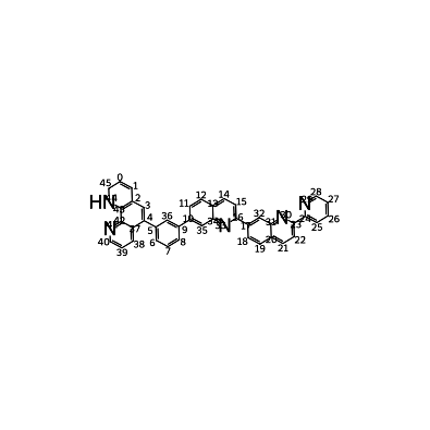 C1=Cc2cc(-c3cccc(-c4ccc5ccc(-c6ccc7ccc(-c8ccccn8)nc7c6)nc5c4)c3)c3cccnc3c2NC1